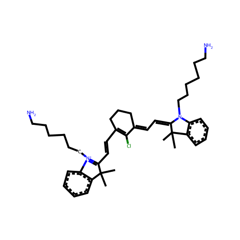 CC1(C)C(/C=C/C2=C(Cl)C(=C/C=C3/N(CCCCCCN)c4ccccc4C3(C)C)/CCC2)=[N+](CCCCCCN)c2ccccc21